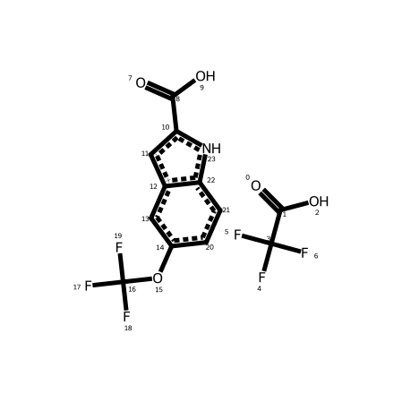 O=C(O)C(F)(F)F.O=C(O)c1cc2cc(OC(F)(F)F)ccc2[nH]1